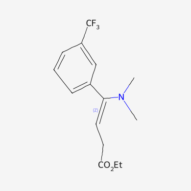 CCOC(=O)C/C=C(/c1cccc(C(F)(F)F)c1)N(C)C